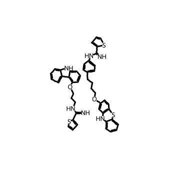 N=C(NCCCOc1cccc2[nH]c3ccccc3c12)c1cccs1.N=C(Nc1ccc(CCCCOc2ccc3c(c2)Nc2ccccc2S3)cc1)c1cccs1